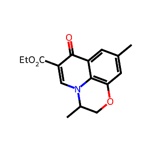 CCOC(=O)c1cn2c3c(cc(C)cc3c1=O)OCC2C